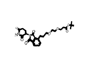 CC(C)(C)OC(=O)CCOCCOCCCc1cccc2c1C(=O)N(C1CCC(=O)NC1=O)C2=O